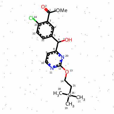 COC(=O)c1cc(C(O)c2ccnc(OCC[Si](C)(C)C)n2)ccc1Cl